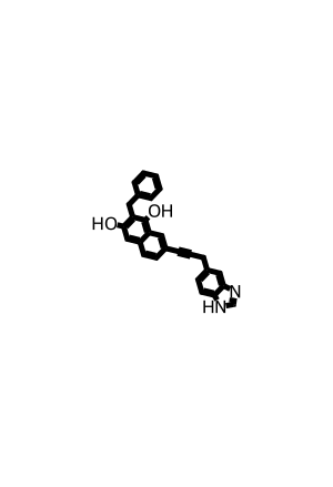 Oc1cc2ccc(C#CCc3ccc4[nH]cnc4c3)cc2c(O)c1Cc1ccccc1